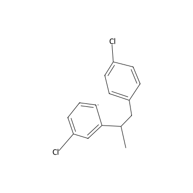 CC(Cc1ccc(Cl)cc1)c1[c]ccc(Cl)c1